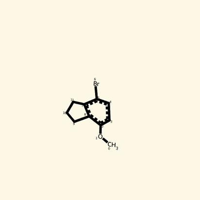 COc1ccc(Br)c2c1CCC2